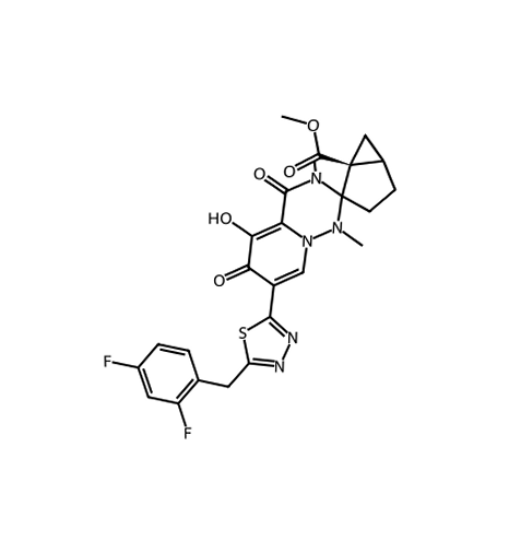 COC(=O)[C@@]12CC1CCC21N(C)C(=O)c2c(O)c(=O)c(-c3nnc(Cc4ccc(F)cc4F)s3)cn2N1C